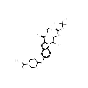 CCOC(=O)c1cc2cc(OC3CCN(C(C)C)CC3)ccc2n1C(C)CNC(=O)OC(C)(C)C